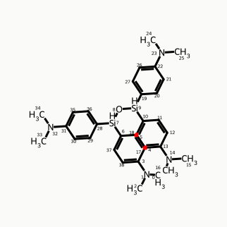 CN(C)c1ccc([SiH](O[SiH](c2ccc(N(C)C)cc2)c2ccc(N(C)C)cc2)c2ccc(N(C)C)cc2)cc1